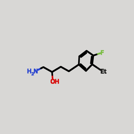 CCc1cc(CCC(O)CN)ccc1F